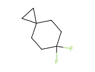 FC1(F)CCC2(CC1)CC2